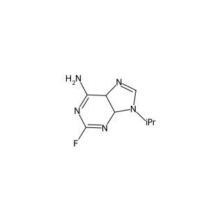 CC(C)N1C=NC2C(N)=NC(F)=NC21